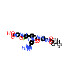 CC(C)(C)OC(=O)NC[C@H]1CC[C@H](C(=O)N[C@@H](Cc2ccc(-c3ccc(C(=O)NC4CCN(C(=O)O)CC4)c(F)c3)cc2)C(=O)Nc2ccc(-c3nn[nH]n3)cc2)CC1